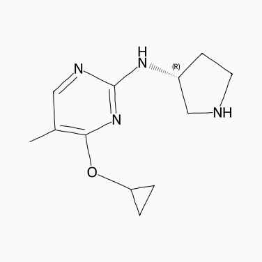 Cc1cnc(N[C@@H]2CCNC2)nc1OC1CC1